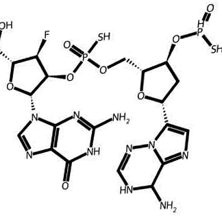 Nc1nc2c(ncn2[C@@H]2O[C@H](CO)[C@@H](F)[C@H]2OP(=O)(S)OC[C@H]2O[C@@H](c3cnc4n3N=CNC4N)C[C@@H]2O[PH](=O)S)c(=O)[nH]1